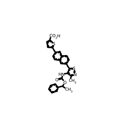 Cc1nsc(-c2ccc3cc(-c4ccc(C(=O)O)s4)ccc3c2)c1NC(=O)OC(C)c1ccccc1